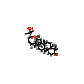 C[C@@H]1CC[C@H](C(C)(C)O)O[C@H]2C[C@@]3(C)[C@@H]4CC[C@H]5C(C)(C)C(=O)CC[C@@]56C[C@@]46CC[C@]3(C)[C@@H]12